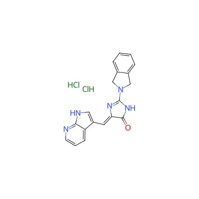 Cl.Cl.O=C1NC(N2Cc3ccccc3C2)=NC1=Cc1c[nH]c2ncccc12